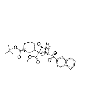 COC(=O)C(CNS(=O)(=O)c1ccc2ccccc2c1)(C(N)=O)[C@@H]1CCCN(C(=O)OC(C)(C)C)C1